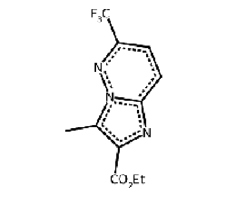 CCOC(=O)c1nc2ccc(C(F)(F)F)nn2c1C